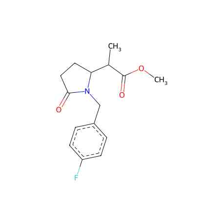 COC(=O)C(C)C1CCC(=O)N1Cc1ccc(F)cc1